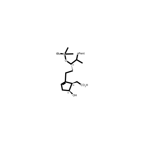 CCCCCC(C)[C@H](CCC1=CC[C@H](O)[C@@H]1CC(=O)O)O[Si](C)(C)C(C)(C)C